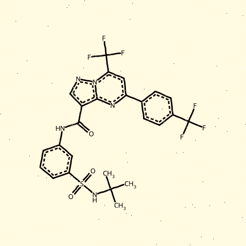 CC(C)(C)NS(=O)(=O)c1cccc(NC(=O)c2cnn3c(C(F)(F)F)cc(-c4ccc(C(F)(F)F)cc4)nc23)c1